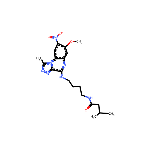 COc1cc2nc(NCCCCNC(=O)CC(C)C)c3nnc(C)n3c2cc1[N+](=O)[O-]